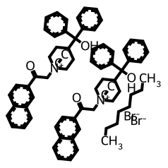 CCCCCCCC.O=C(C[N+]12CCC(C(O)(c3ccccc3)c3ccccc3)(CC1)CC2)c1ccc2ccccc2c1.O=C(C[N+]12CCC(C(O)(c3ccccc3)c3ccccc3)(CC1)CC2)c1ccc2ccccc2c1.[Br-].[Br-]